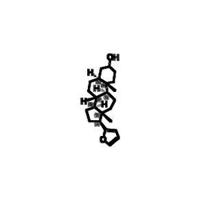 C[C@]12CCC(O)C[C@@H]1CC[C@@H]1[C@@H]2CC[C@]2(C)[C@@H](c3ccco3)CC[C@@H]12